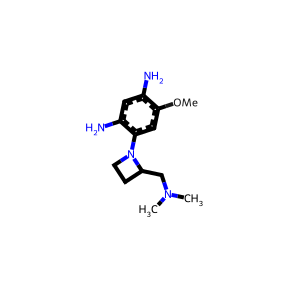 COc1cc(N2CCC2CN(C)C)c(N)cc1N